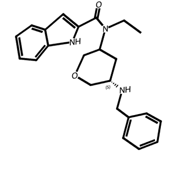 CCN(C(=O)c1cc2ccccc2[nH]1)C1COC[C@@H](NCc2ccccc2)C1